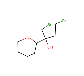 OC(CBr)(CCBr)C1CCCCO1